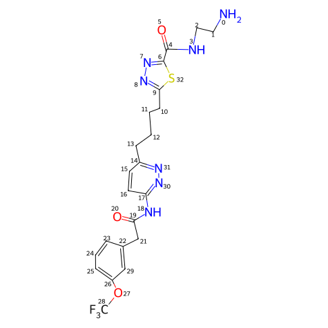 NCCNC(=O)c1nnc(CCCCc2ccc(NC(=O)Cc3cccc(OC(F)(F)F)c3)nn2)s1